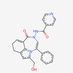 O=C(NN1C=C(c2ccccc2)n2c(CO)cc3c2C(=CCC3)C1=O)c1ccncc1